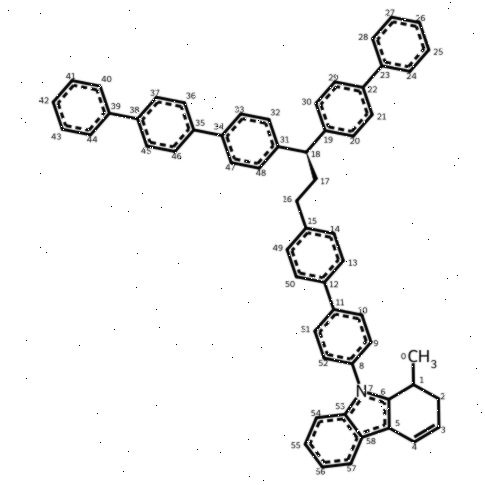 CC1CC=Cc2c1n(-c1ccc(-c3ccc(CC[C@H](c4ccc(-c5ccccc5)cc4)c4ccc(-c5ccc(-c6ccccc6)cc5)cc4)cc3)cc1)c1ccccc21